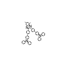 Cc1cc(C)c2nc(-c3ccc(-c4ccc(N(c5ccccc5)c5ccccc5)cc4)cc3)c(-c3ccc(-c4ccc(N(c5ccccc5)c5ccccc5)cc4)cc3)nc2c1